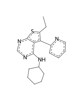 CCc1sc2ncnc(NC3CCCCC3)c2c1-c1ccccn1